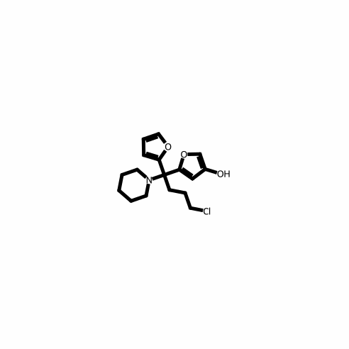 Oc1coc(C(CCCCl)(c2ccco2)N2CCCCC2)c1